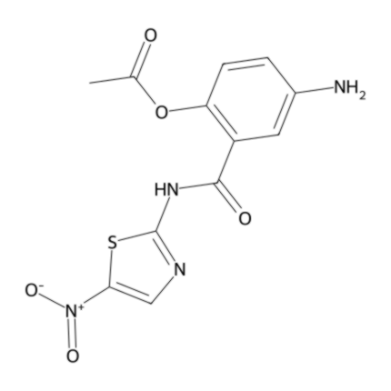 CC(=O)Oc1ccc(N)cc1C(=O)Nc1ncc([N+](=O)[O-])s1